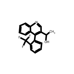 CC(O)c1cnc2c[c]ccc2c1-c1ccccc1C(F)(F)F